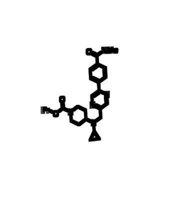 CNC(=O)c1ccc(-c2cnc(CN(C3CC3)C3CCN(C(=O)OC(C)C)CC3)cn2)cc1